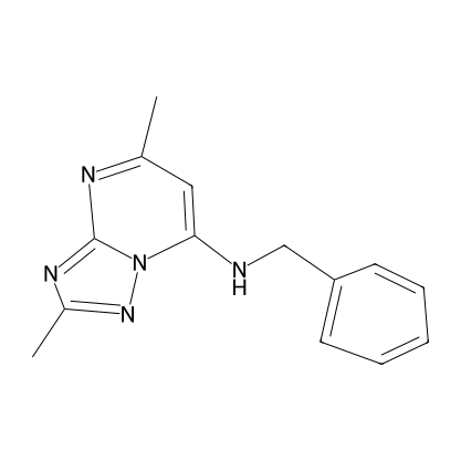 Cc1cc(NCc2ccccc2)n2nc(C)nc2n1